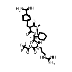 CN(C)C(=O)C(Cc1ccc(C(=N)N)cc1)C(=O)N[C@](C)(C(=O)N[C@@H](CCCNC(=N)N)C(=O)OC(=O)C(F)(F)F)C1CCCCC1